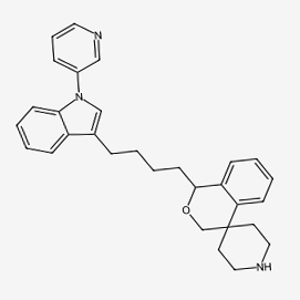 c1cncc(-n2cc(CCCCC3OCC4(CCNCC4)c4ccccc43)c3ccccc32)c1